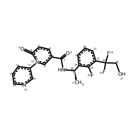 C[C@@H](NC(=O)c1ccc(=O)n(-c2cccnc2)c1)c1cccc(C(F)(F)CO)c1F